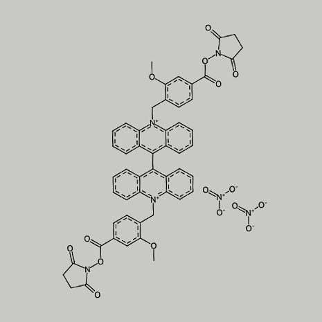 COc1cc(C(=O)ON2C(=O)CCC2=O)ccc1C[n+]1c2ccccc2c(-c2c3ccccc3[n+](Cc3ccc(C(=O)ON4C(=O)CCC4=O)cc3OC)c3ccccc23)c2ccccc21.O=[N+]([O-])[O-].O=[N+]([O-])[O-]